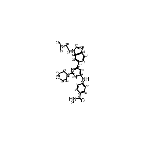 CNC(=O)c1ccc(Nc2cc(-c3ccc4ncn(CCN(C)C)c4c3)nc(N3CCOCC3)n2)cc1